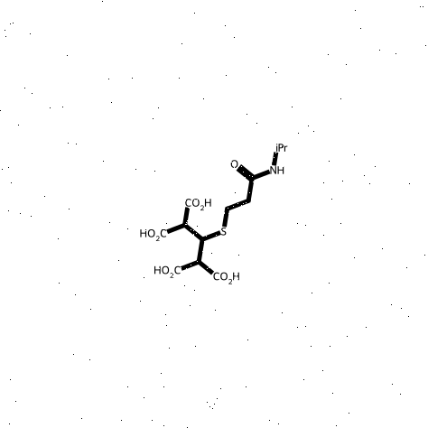 CC(C)NC(=O)CCSC(C(C(=O)O)C(=O)O)C(C(=O)O)C(=O)O